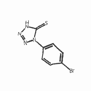 S=c1[nH]nnn1-c1ccc(Br)cc1